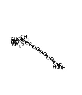 CO[Si](CCCSCC(C)C(=O)OCCOCCOCCOCCOCCOCCOCCOCCOCCOCCOP(=O)(O)O)(OC)OC